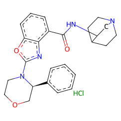 Cl.O=C(NC1CN2CCC1CC2)c1cccc2oc(N3CCOC[C@@H]3c3ccccc3)nc12